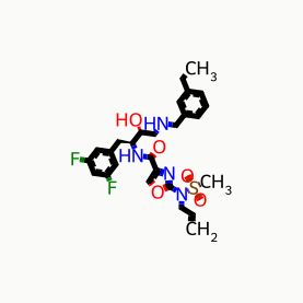 C=CCN(c1nc(C(=O)N[C@@H](Cc2cc(F)cc(F)c2)[C@@H](O)CNCc2cccc(CC)c2)co1)S(C)(=O)=O